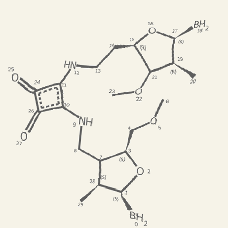 B[C@@H]1O[C@H](COC)C(CNc2c(NCC[C@H]3O[C@@H](B)[C@@H](C)C3OC)c(=O)c2=O)[C@@H]1C